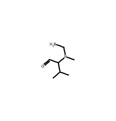 BCN(C)C(C=O)C(C)C